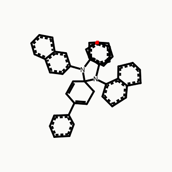 C1=CC(N(c2ccccc2)c2ccc3ccccc3c2)(N(c2ccccc2)c2cccc3ccccc23)CC=C1c1ccccc1